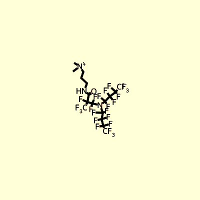 C[N+](C)(C)CCCNC(=O)C(F)(C(F)(F)F)C(F)(F)N(C(F)(F)C(F)(F)C(F)(F)C(F)(F)F)C(F)(F)C(F)(F)C(F)(F)C(F)(F)F.[I-]